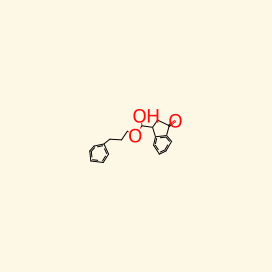 O=C1CC(C(O)OCCCc2ccccc2)c2ccccc21